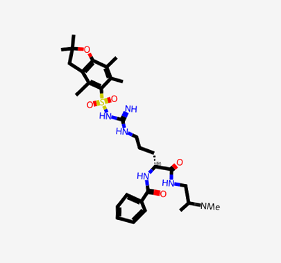 CNC(C)CNC(=O)[C@@H](CCCNC(=N)NS(=O)(=O)c1c(C)c(C)c2c(c1C)CC(C)(C)O2)NC(=O)c1ccccc1